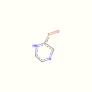 O=S=c1cncc[nH]1